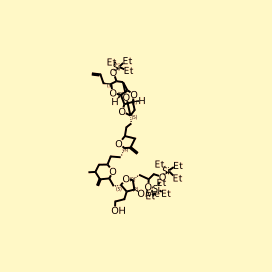 C=CC[C@@H]1O[C@@H]2C3O[C@@H]4C[C@](CCC5CC(=C)[C@H](CCC6CC(C)C(=C)C(C[C@@H]7O[C@H](CC(CO[Si](CC)(CC)CC)O[Si](CC)(CC)CC)[C@H](OC)C7CCO)O6)O5)(OC3C1O[Si](CC)(CC)CC)OC24